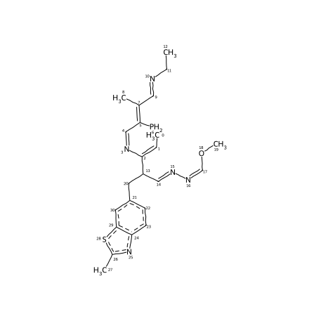 C\C=C(/N=C\C(P)=C(C)\C=N\CC)C(/C=N/N=C\OC)Cc1ccc2nc(C)sc2c1